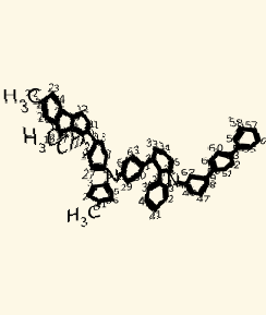 Cc1ccc(N(c2ccc(-c3ccc4c(c3)C(C)(C)c3cc(C)ccc3-4)cc2)c2ccc(-c3cccc4c3c3ccccc3n4-c3cccc(-c4ccc(-c5ccccc5)cc4)c3)cc2)cc1